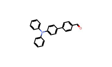 O=Cc1ccc(-c2ccc(N(c3ccccc3)c3ccccc3)cc2)cc1